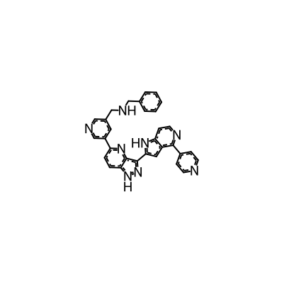 c1ccc(CNCc2cncc(-c3ccc4[nH]nc(-c5cc6c(-c7ccncc7)nccc6[nH]5)c4n3)c2)cc1